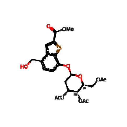 COC(=O)c1cc2c(CO)ccc(OC3CC(OC(C)=O)[C@@H](OC(C)=O)[C@@H](COC(C)=O)O3)c2s1